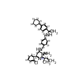 C=C/C(C)=C1/N=C(c2ccccc2Cl)CC(NCc2ccc(CNC(=C)c3ccc(C4CCCCC4)cc3)cc2)N1N